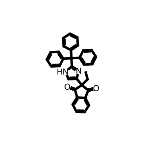 CCC1(c2c[nH]c(C(c3ccccc3)(c3ccccc3)c3ccccc3)n2)C(=O)c2ccccc2C1=O